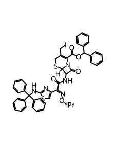 CC(C)ON=C(C(=O)NC1C(=O)N2C(C(=O)OC(c3ccccc3)c3ccccc3)=C(CI)CS[C@@H]12)c1csc(NC(c2ccccc2)(c2ccccc2)c2ccccc2)n1